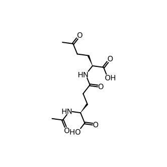 CC(=O)CC[C@H](NC(=O)CC[C@H](NC(C)=O)C(=O)O)C(=O)O